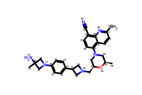 Bc1ccc2c(N3C[C@H](CN4CC(c5ccc(N6CC(C)(N)C6)cc5)C4)O[C@H](C)C3)ccc(C#N)c2n1